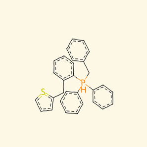 c1ccc(C[PH](c2ccccc2)(c2ccccc2)c2ccccc2Cc2cccs2)cc1